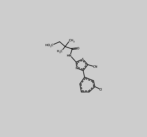 CC(C)(CC(=O)O)C(=O)Nc1nc(-c2cccc(Cl)c2)c(C#N)s1